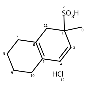 CC1(S(=O)(=O)O)C=CC2=C(CCCC2)C1.Cl